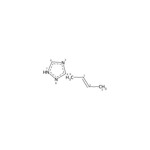 CC=CC.c1nc[nH]n1